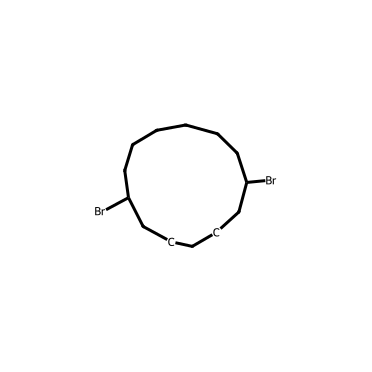 BrC1CCCCCCC(Br)CCCCC1